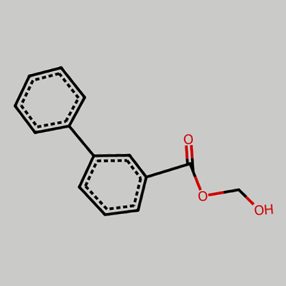 O=C(OCO)c1cccc(-c2ccccc2)c1